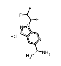 C[C@@H](N)c1cc2cnn(C(F)C(F)F)c2cn1.Cl